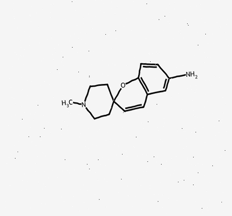 CN1CCC2(C=Cc3cc(N)ccc3O2)CC1